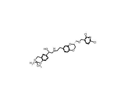 CC1(C)OCc2cc([C@@H](O)CNCCc3ccc4c(c3)O[C@H](COCc3ccc(Cl)nc3Cl)CO4)ccc2O1